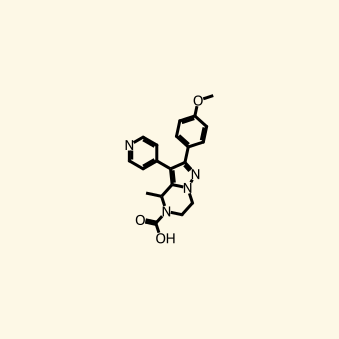 COc1ccc(-c2nn3c(c2-c2ccncc2)C(C)N(C(=O)O)CC3)cc1